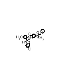 Cc1ccc(NC(=O)c2ccc(N(C)C(=O)CN3CCCCC3)cc2)c(C(=O)Nc2ccc(Cl)cn2)c1